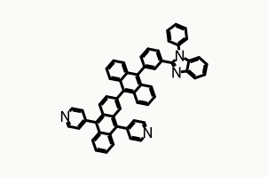 c1ccc(-n2c(-c3cccc(-c4c5ccccc5c(-c5ccc6c(-c7ccncc7)c7ccccc7c(-c7ccncc7)c6c5)c5ccccc45)c3)nc3ccccc32)cc1